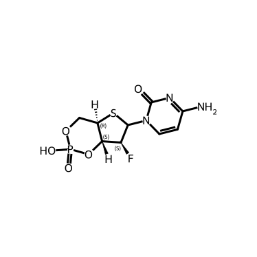 Nc1ccn(C2S[C@@H]3COP(=O)(O)O[C@H]3[C@@H]2F)c(=O)n1